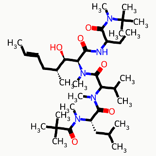 C/C=C/C[C@@H](C)[C@@H](O)[C@@H](C(=O)NC(CC)C(=O)N(C)C(C)(C)C)N(C)C(=O)C(C(C)C)N(C)C(=O)[C@H](CC(C)C)N(C)C(=O)C(C)(C)C